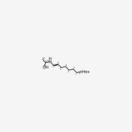 CCCCCCCCCCCC=CNC(C)O